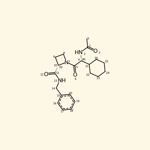 CC(=O)N[C@@H](C(=O)N1CC[C@H]1C(=O)NCc1cc[c]cc1)C1CCCCC1